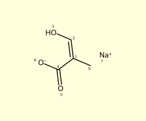 CC(=CO)C(=O)[O-].[Na+]